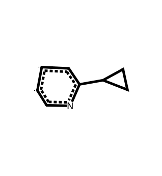 [c]1[c]cc(C2CC2)nc1